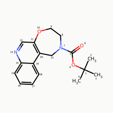 CC(C)(C)OC(=O)N1CCOc2cnc3ccccc3c2C1